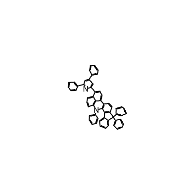 c1ccc(-c2cc(-c3ccccc3)nc(-c3ccc4c5c(cccc35)N(c3ccccc3)c3c-4ccc4c3-c3ccccc3C4(c3ccccc3)c3ccccc3)c2)cc1